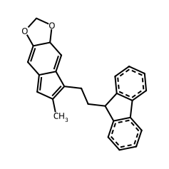 CC1=C(CCC2c3ccccc3-c3ccccc32)C2=CC3OCOC3=CC2=C1